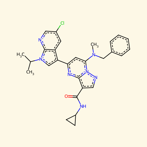 CC(C)n1cc(-c2cc(N(C)Cc3ccccc3)n3ncc(C(=O)NC4CC4)c3n2)c2cc(Cl)cnc21